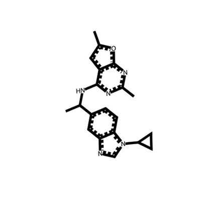 Cc1nc(NC(C)c2ccc3c(c2)ncn3C2CC2)c2cc(C)oc2n1